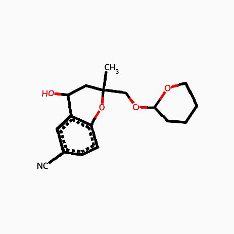 CC1(COC2CCCCO2)CC(O)c2cc(C#N)ccc2O1